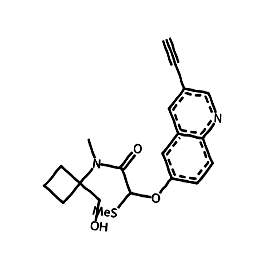 C#Cc1cnc2ccc(OC(SC)C(=O)N(C)C3(CO)CCC3)cc2c1